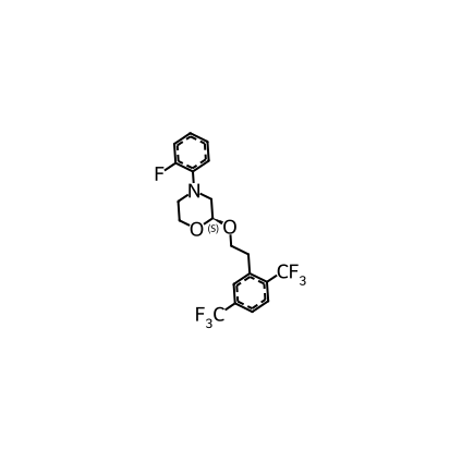 Fc1ccccc1N1CCO[C@H](OCCc2cc(C(F)(F)F)ccc2C(F)(F)F)C1